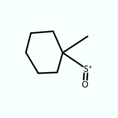 CC1([S+]=O)CCCCC1